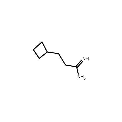 N=C(N)CCC1CCC1